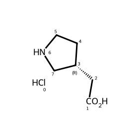 Cl.O=C(O)C[C@H]1CCNC1